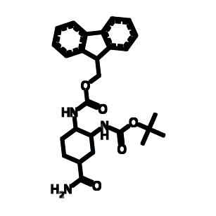 CC(C)(C)OC(=O)NC1CC(C(N)=O)CCC1NC(=O)OCC1c2ccccc2-c2ccccc21